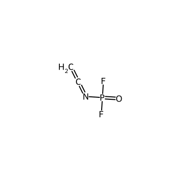 C=C=NP(=O)(F)F